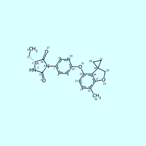 CC[C@H]1NC(=O)N(c2ccc(Oc3ccc(C)c4c3C3(CC3)CO4)nc2)C1=O